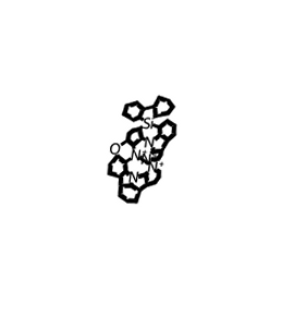 c1ccc2c(c1)-c1ccccc1[Si]21c2ccc3c4c2-n2c5c1cccc5c1ccc[n+](c12)[N+]41c2c(ccc4c5cccc6c7ccc[n+]1c7n(c24)c56)O3